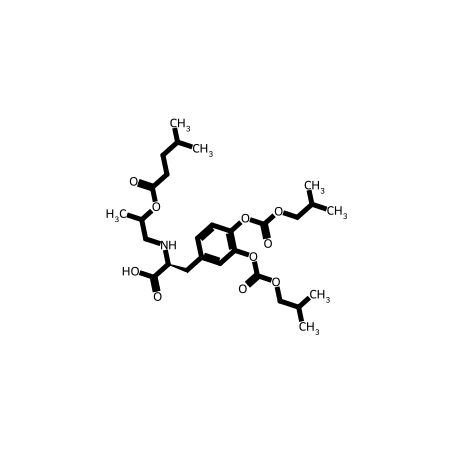 CC(C)CCC(=O)OC(C)CN[C@@H](Cc1ccc(OC(=O)OCC(C)C)c(OC(=O)OCC(C)C)c1)C(=O)O